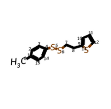 Cc1ccc(SSCCc2cccs2)cc1